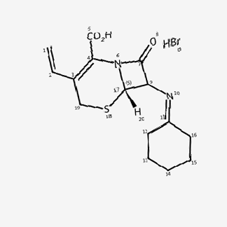 Br.C=CC1=C(C(=O)O)N2C(=O)C(N=C3CCCCC3)[C@@H]2SC1